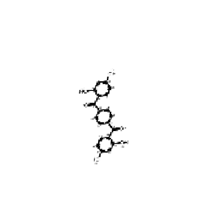 O=C(c1ccc(C(=O)c2ccc(O)cc2O)cc1)c1ccc(O)cc1O